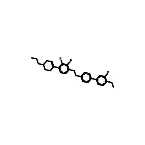 CCCC1CC=C(c2ccc(CCc3ccc(-c4ccc(CC)c(F)c4)cc3)c(F)c2F)CC1